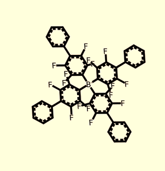 Fc1c(F)c([B-](c2c(F)c(F)c(-c3ccccc3)c(F)c2F)(c2c(F)c(F)c(-c3ccccc3)c(F)c2F)c2c(F)c(F)c(-c3ccccc3)c(F)c2F)c(F)c(F)c1-c1ccccc1